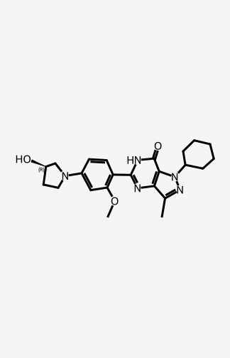 COc1cc(N2CC[C@@H](O)C2)ccc1-c1nc2c(C)nn(C3CCCCC3)c2c(=O)[nH]1